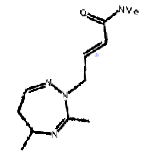 CNC(=O)/C=C/CN1N=CCC(C)N=C1C